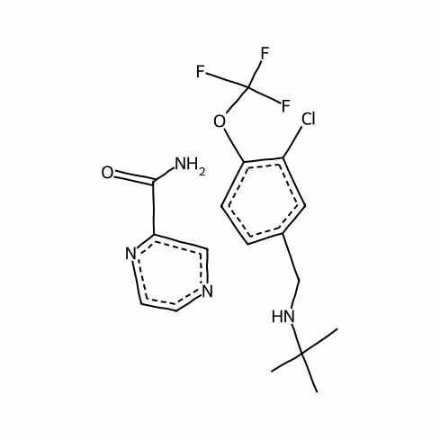 CC(C)(C)NCc1ccc(OC(F)(F)F)c(Cl)c1.NC(=O)c1cnccn1